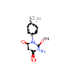 O=C1CC(=O)N(c2ccc(S(=O)(=O)O)cc2)C(=O)N1.[KH]